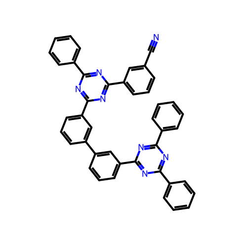 N#Cc1cccc(-c2nc(-c3ccccc3)nc(-c3cccc(-c4cccc(-c5nc(-c6ccccc6)nc(-c6ccccc6)n5)c4)c3)n2)c1